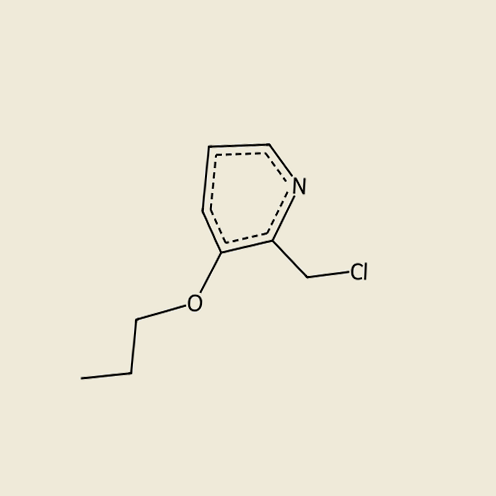 CCCOc1cccnc1CCl